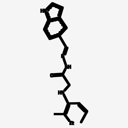 C/C=C\C(NCC(=O)N/N=C/c1ccc2[nH]ccc2c1)=C(\C)CC